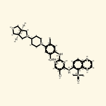 COc1cc(N2CCC(N3C[C@H]4COC[C@H]4C3)CC2)c(C)cc1Nc1ncc(Cl)c(Nc2ccc3nccnc3c2P(C)(C)=O)n1